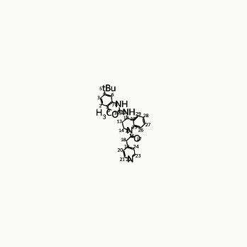 Cc1ccc(C(C)(C)C)cc1NC(=O)NC1CCN(C(=O)Cc2ccncc2)c2ccccc21